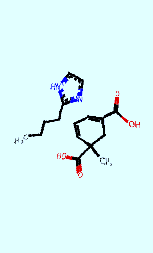 CC1(C(=O)O)C=CC=C(C(=O)O)C1.CCCCc1ncc[nH]1